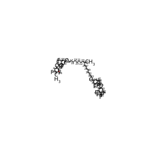 Cc1c(F)cc(OC(F)(F)c2c(F)cc(OCCCCCCCCC(C)CCCCCCCCOc3cc(F)c(C(F)(F)Oc4cc(F)c(C(F)(F)F)c(F)c4)c(F)c3)cc2F)cc1F